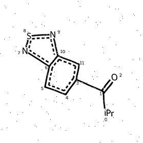 CC(C)C(=O)c1ccc2nsnc2c1